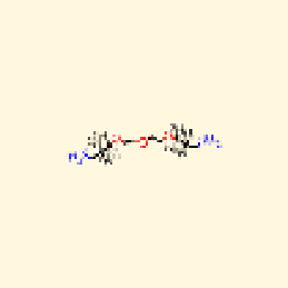 [2H]C([2H])(CN)C([2H])([2H])OCCOCCOC([2H])([2H])C([2H])([2H])CN